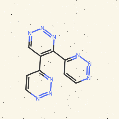 [c]1nnnc(-c2ccnnn2)c1-c1ccnnn1